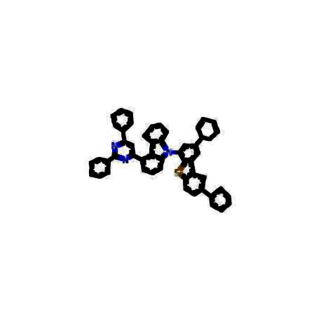 C1=CCC(c2cc(-n3c4ccccc4c4c(-c5cc(-c6ccccc6)nc(-c6ccccc6)n5)cccc43)c3sc4ccc(-c5ccccc5)cc4c3c2)C=C1